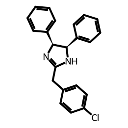 Clc1ccc(CC2=N[C@@H](c3ccccc3)[C@@H](c3ccccc3)N2)cc1